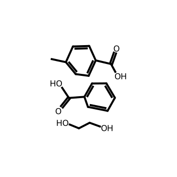 Cc1ccc(C(=O)O)cc1.O=C(O)c1ccccc1.OCCO